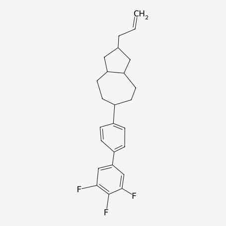 C=CCC1CC2CCC(c3ccc(-c4cc(F)c(F)c(F)c4)cc3)CCC2C1